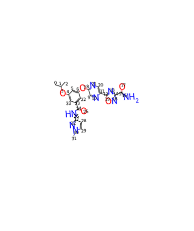 CC(C)Oc1cc(Oc2cnc(-c3nc(C(N)=O)no3)cn2)cc(C(=O)Nc2ccn(C)n2)c1